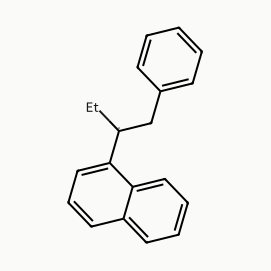 CC[C](Cc1ccccc1)c1cccc2ccccc12